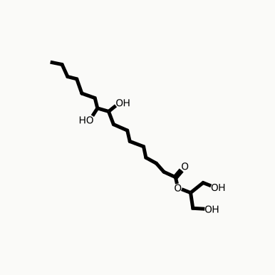 CCCCCCC(O)C(O)CCCCCCCC(=O)OC(CO)CO